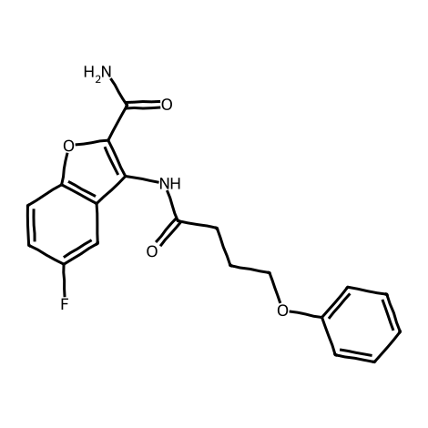 NC(=O)c1oc2ccc(F)cc2c1NC(=O)CCCOc1ccccc1